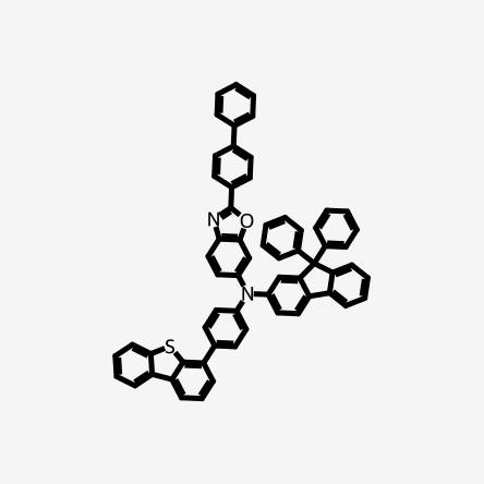 c1ccc(-c2ccc(-c3nc4ccc(N(c5ccc(-c6cccc7c6sc6ccccc67)cc5)c5ccc6c(c5)C(c5ccccc5)(c5ccccc5)c5ccccc5-6)cc4o3)cc2)cc1